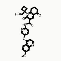 COc1ccc2c(Oc3ccc(NC(=O)c4cc5c(n(C6(CO)CCC6)c4=O)CCCC5=O)nc3)ccnc2c1